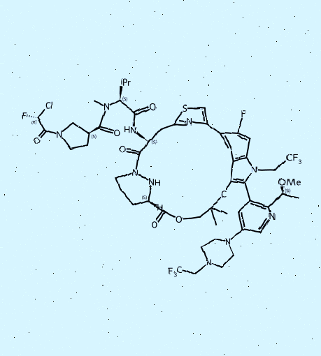 CO[C@@H](C)c1ncc(N2CCN(CC(F)(F)F)CC2)cc1-c1c2c3cc(c(F)cc3n1CC(F)(F)F)-c1csc(n1)C[C@H](NC(=O)[C@H](C(C)C)N(C)C(=O)[C@H]1CCN(C(=O)[C@H](F)Cl)C1)C(=O)N1CCC[C@H](N1)C(=O)OCC(C)(C)C2